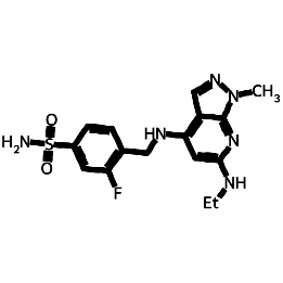 CCNc1cc(NCc2ccc(S(N)(=O)=O)cc2F)c2cnn(C)c2n1